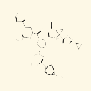 C=C[C@H]1CC1(NC(=O)[C@@H]1C[C@@H](N(N)/N=C(\N)c2ccc(OC)cc2)CN1C(=O)C(CCC(=O)C=C(C)C)NC(=O)OC(C)(C)C)C(=O)NS(=O)(=O)C1CC1